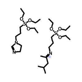 CCO[Si](CCC/N=C(\C)CC(C)C)(OCC)OCC.CCO[Si](CCCN1C=NCC1)(OCC)OCC